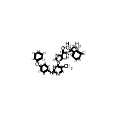 Cc1cnc(Nc2ccc(Oc3ccccc3)cc2)nc1-n1cnc(C(=O)N[C@@](C)(CN)c2cccc(Cl)c2)c1